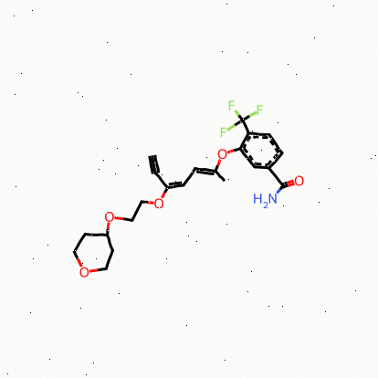 C#C/C(=C\C=C(/C)Oc1cc(C(N)=O)ccc1C(F)(F)F)OCCOC1CCOCC1